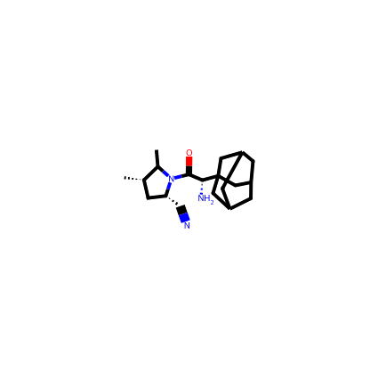 CC1[C@@H](C)C[C@@H](C#N)N1C(=O)[C@@H](N)C12CC3CC(CC(C3)C1)C2